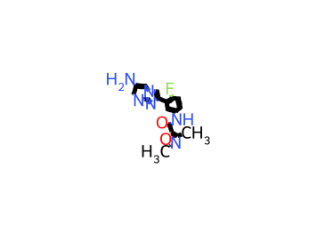 Cc1nc(C)c(C(=O)Nc2ccc(F)c(-c3cn4cc(N)cnc4n3)c2)o1